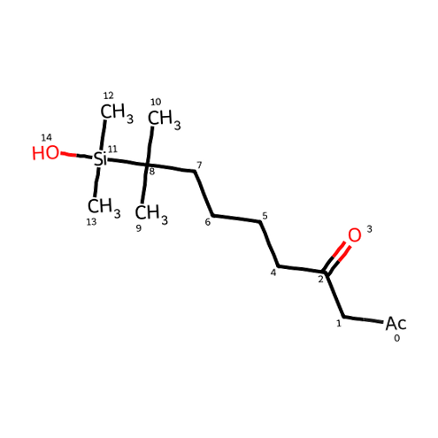 CC(=O)CC(=O)CCCCC(C)(C)[Si](C)(C)O